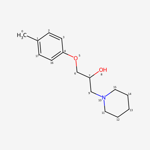 Cc1ccc(OCC(O)CN2CCCCC2)cc1